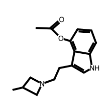 CC(=O)Oc1cccc2[nH]cc(CCN3CC(C)C3)c12